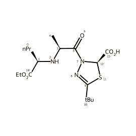 CCC[C@@H](N[C@@H](C)C(=O)N1N=C(C(C)(C)C)S[C@@H]1C(=O)O)C(=O)OCC